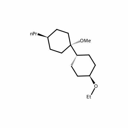 CCC[C@H]1CC[C@@](OC)([C@H]2CC[C@H](OCC)CC2)CC1